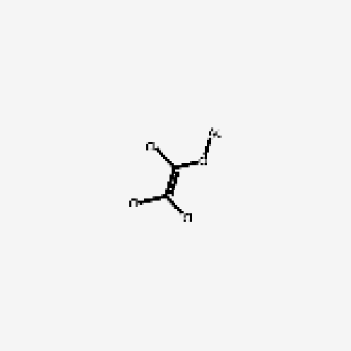 CC(=O)OC(Cl)=C(Cl)Cl